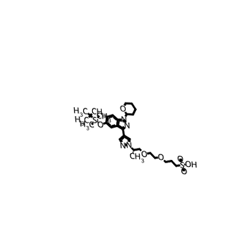 C[C@@H](COCCOCCCS(=O)(=O)O)n1cc(-c2nn(C3CCCCO3)c3ccc(O[Si](C)(C)C(C)(C)C)cc23)cn1